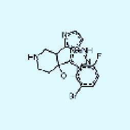 Fc1ccc(Br)c(OC2(c3nn[nH]n3)CCNCC2c2ncco2)c1